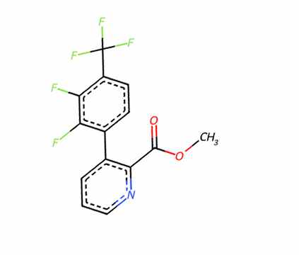 COC(=O)c1ncccc1-c1ccc(C(F)(F)F)c(F)c1F